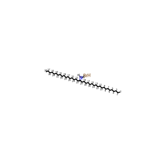 Br.CCCCCCCCCCCCCCCCCCCCC(CCCCCCCCCCCCCCCCC)N(C)C